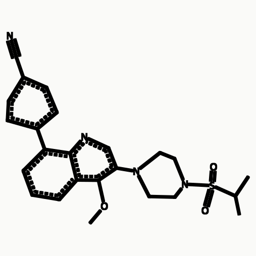 COc1c(N2CCN(S(=O)(=O)C(C)C)CC2)cnc2c(-c3ccc(C#N)cc3)cccc12